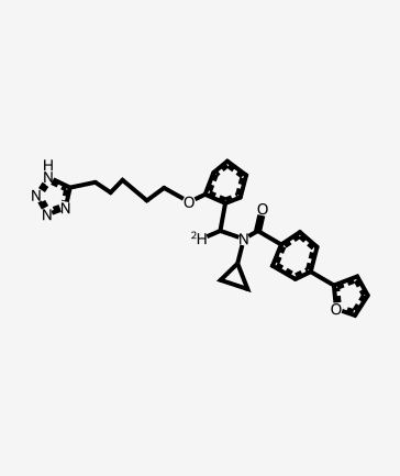 [2H]C(c1ccccc1OCCCCCc1nnn[nH]1)N(C(=O)c1ccc(-c2ccco2)cc1)C1CC1